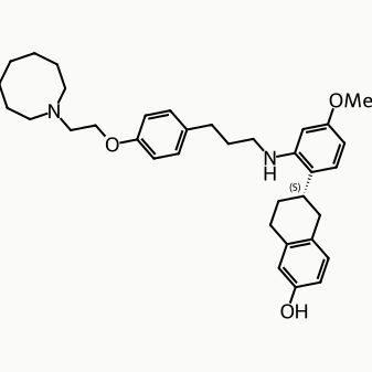 COc1ccc([C@H]2CCc3cc(O)ccc3C2)c(NCCCc2ccc(OCCN3CCCCCCC3)cc2)c1